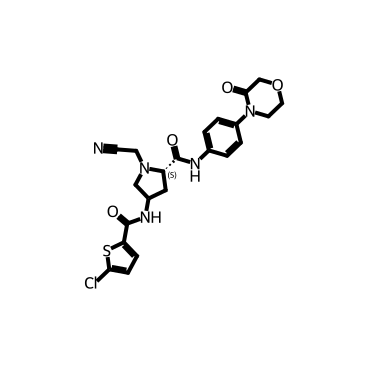 N#CCN1CC(NC(=O)c2ccc(Cl)s2)C[C@H]1C(=O)Nc1ccc(N2CCOCC2=O)cc1